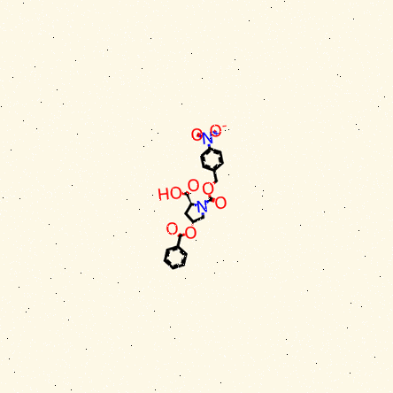 O=C(O[C@@H]1C[C@@H](C(=O)O)N(C(=O)OCc2ccc([N+](=O)[O-])cc2)C1)c1ccccc1